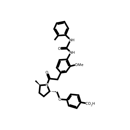 COc1cc(CC(=O)N2[C@H](COc3ccc(C(=O)O)cc3)CC[C@H]2C)ccc1NC(=O)Nc1ccccc1C